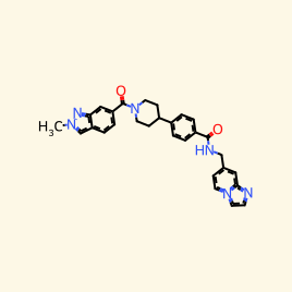 Cn1cc2ccc(C(=O)N3CCC(c4ccc(C(=O)NCc5ccn6ccnc6c5)cc4)CC3)cc2n1